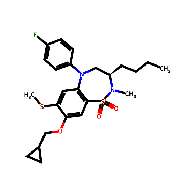 CCCC[C@@H]1CN(c2ccc(F)cc2)c2cc(SC)c(OCC3CC3)cc2S(=O)(=O)N1C